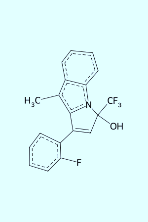 Cc1c2n(c3ccccc13)C(O)(C(F)(F)F)C=C2c1ccccc1F